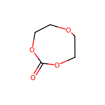 O=C1OCCOCCO1